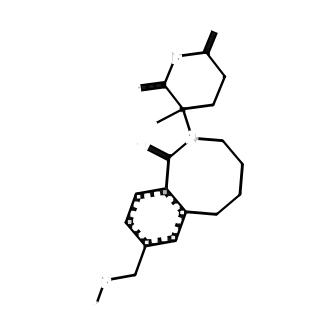 CCNCc1ccc2c(c1)CCCCN(C1(C)CCC(=O)NC1=O)C2=O